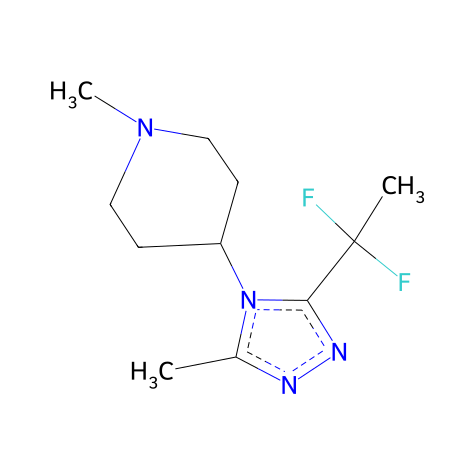 Cc1nnc(C(C)(F)F)n1C1CCN(C)CC1